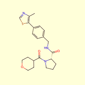 Cc1ncsc1-c1ccc(CNC(=O)[C@@H]2CCCN2C(=O)C2CCOCC2)cc1